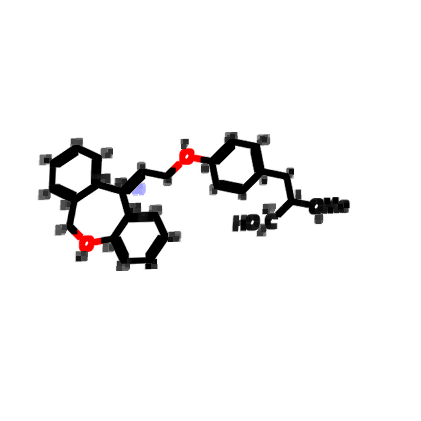 COC(Cc1ccc(OC/C=C2/c3ccccc3COc3ccccc32)cc1)C(=O)O